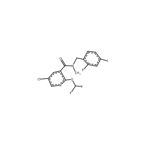 CN(Cc1ccc(F)cc1F)C(=O)c1cc(Cl)cnc1OC(F)F